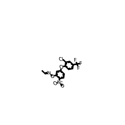 CC=NOc1cc(Oc2ccc(C(F)(F)F)cc2Cl)ccc1[N+](=O)[O-]